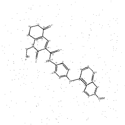 COc1ccc2c(Oc3ccc(NC(=O)c4cc5c(n(CC(C)(C)C)c4=O)CCCC5=O)nc3)ccnc2c1